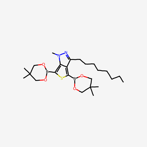 CCCCCCCCc1nn(C)c2c(B3OCC(C)(C)CO3)sc(B3OCC(C)(C)CO3)c12